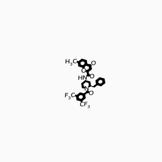 Cc1ccc2c(=O)cc(C(=O)N[C@H]3CCN(C(=O)c4cc(C(F)(F)F)cc(C(F)(F)F)c4)[C@H](Cc4ccccc4)C3)oc2c1